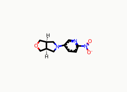 O=[N+]([O-])c1ccc(N2C[C@H]3COC[C@H]3C2)cn1